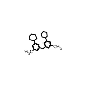 Cc1cc(Cc2[c]c(C3CCCCC3)cc(C)c2)[c]c(C2CCCCC2)c1